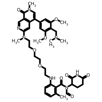 COc1cc(-c2cn(C)c(=O)c3cnc(N(C)CCOCCOCCNc4cccc(C)c4C(=O)N(C=O)C4CCC(=O)NC4=O)cc23)cc(OC)c1CN(C)C